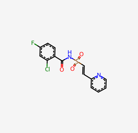 O=C(NS(=O)(=O)/C=C/c1ccccn1)c1ccc(F)cc1Cl